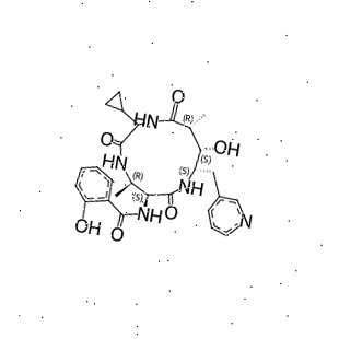 C[C@H]1NC(=O)C(C2CC2)NC(=O)[C@H](C)[C@H](O)[C@H](Cc2cccnc2)NC(=O)[C@H]1NC(=O)c1ccccc1O